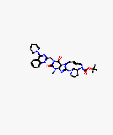 CC#CCn1c(N2CCCC(NC(=O)OC(C)(C)C)C2)nc2c1c(=O)n(Cc1nc(N3CCCCC3)c3ccccc3n1)c(=O)n2C